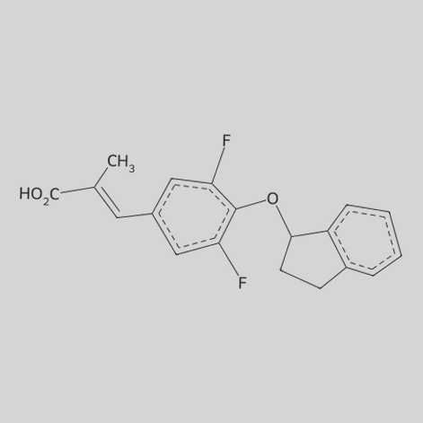 CC(=Cc1cc(F)c(OC2CCc3ccccc32)c(F)c1)C(=O)O